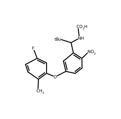 Cc1ccc(F)cc1Oc1ccc([N+](=O)[O-])c(C(NC(=O)O)C(C)(C)C)c1